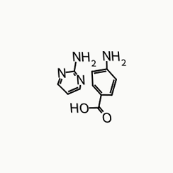 Nc1ccc(C(=O)O)cc1.Nc1ncccn1